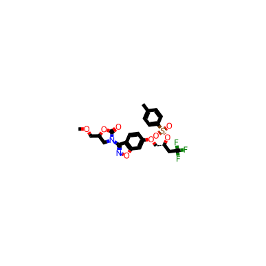 COCC1CN(c2noc3cc(OC[C@@H](CC(F)(F)F)OS(=O)(=O)c4ccc(C)cc4)ccc23)C(=O)O1